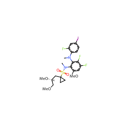 COC[C@@H](CC1(S(=O)(=O)N(C)c2c(OC)cc(F)c(F)c2N(C)c2ccc(I)cc2F)CC1)OC